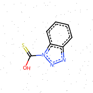 OC(=S)n1nnc2ccccc21